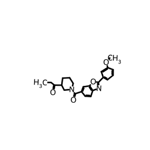 CCC(=O)C1CCCN(C(=O)c2ccc3nc(-c4cccc(OC)c4)oc3c2)C1